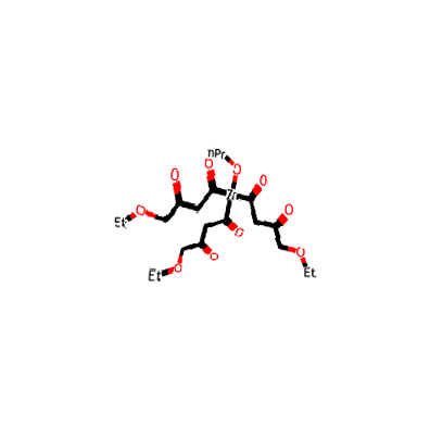 CCC[O][Zr]([C](=O)CC(=O)COCC)([C](=O)CC(=O)COCC)[C](=O)CC(=O)COCC